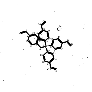 C=Cc1ccc(C[P+](c2ccc(C=C)cc2)(c2ccc(C=C)cc2)c2ccc(C=C)cc2)cc1.[Cl-]